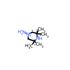 CC1(C)CN(N)CC(C)(C)N1